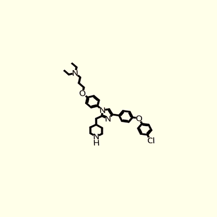 CCN(CC)CCCOc1ccc(-n2cc(-c3ccc(Oc4ccc(Cl)cc4)cc3)nc2CC2CCNCC2)cc1